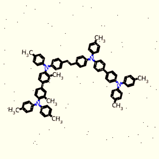 Cc1ccc(N(c2ccc(C)cc2)c2ccc(-c3ccc(N(c4ccc(C)cc4)c4ccc(CCc5ccc(N(c6ccc(C)cc6)c6ccc(-c7ccc(N(c8ccc(C)cc8)c8ccc(C)cc8)c(C)c7)cc6C)cc5)cc4)cc3)cc2)cc1